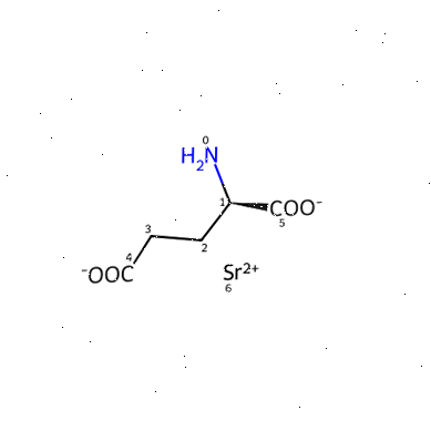 N[C@H](CCC(=O)[O-])C(=O)[O-].[Sr+2]